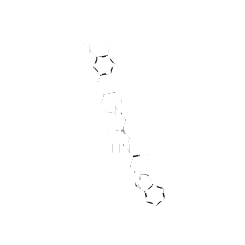 O=C(CN1C2OC1c1ccccc12)NC[C@@H](O)CN1CCC(Oc2ccc(Cl)c(Cl)c2)CC1